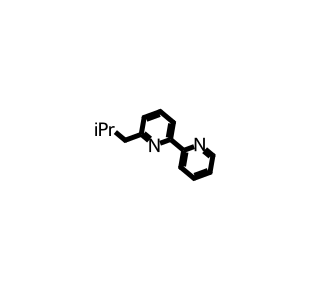 CC(C)Cc1cccc(-c2ccccn2)n1